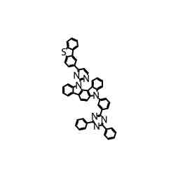 c1ccc(-c2nc(-c3ccccc3)nc(-c3cccc(-n4c5ccccc5c5c4ccc4c6ccccc6n(-c6nccc(-c7ccc8sc9ccccc9c8c7)n6)c45)c3)n2)cc1